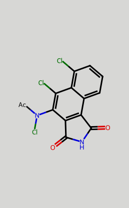 CC(=O)N(Cl)c1c2c(c3cccc(Cl)c3c1Cl)C(=O)NC2=O